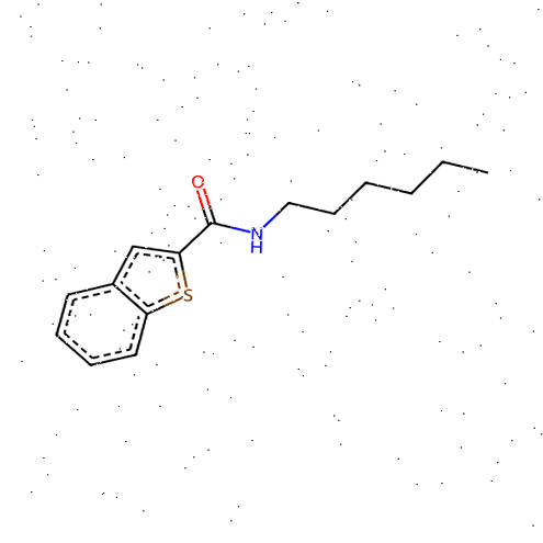 CCCCCCNC(=O)c1cc2ccccc2s1